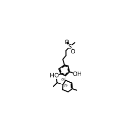 CC1=C[C@@H](c2c(O)cc(CCCS(C)(=O)=O)cc2O)[C@H](C(C)C)CC1